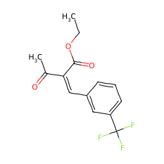 CCOC(=O)C(=Cc1cccc(C(F)(F)F)c1)C(C)=O